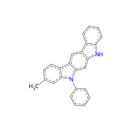 Cc1ccc2c3cc4c(cc3n(-c3ccccc3)c2c1)[nH]c1ccccc14